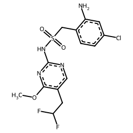 COc1nc(NS(=O)(=O)Cc2ccc(Cl)cc2N)ncc1CC(F)F